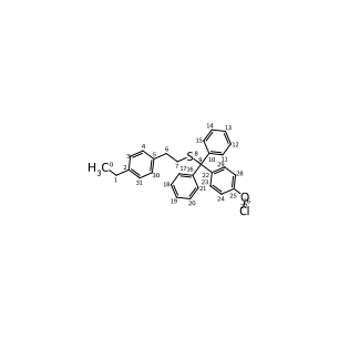 CCc1ccc(CCSC(c2ccccc2)(c2ccccc2)c2ccc(OCl)cc2)cc1